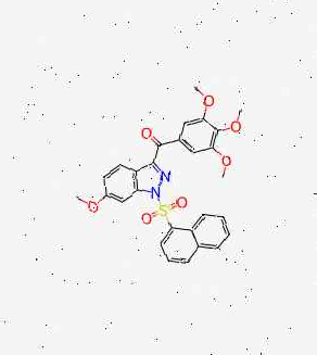 COc1ccc2c(C(=O)c3cc(OC)c(OC)c(OC)c3)nn(S(=O)(=O)c3cccc4ccccc34)c2c1